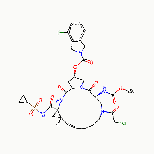 CC(C)(C)OC(=O)N[C@H]1CN(C(=O)CCl)CCC/C=C\[C@@H]2C[C@@]2(C(=O)NS(=O)(=O)C2CC2)NC(=O)C2C[C@@H](OC(=O)N3Cc4cccc(F)c4C3)CN2C1=O